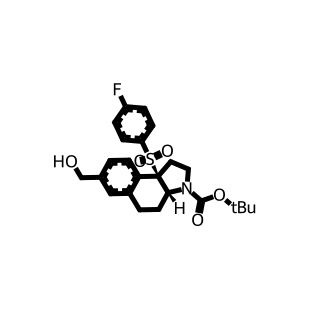 CC(C)(C)OC(=O)N1CC[C@@]2(S(=O)(=O)c3ccc(F)cc3)c3ccc(CO)cc3CC[C@@H]12